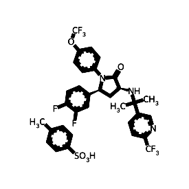 CC(C)(N[C@H]1C[C@@H](c2ccc(F)c(F)c2)N(c2ccc(OC(F)(F)F)cc2)C1=O)c1ccc(C(F)(F)F)nc1.Cc1ccc(S(=O)(=O)O)cc1